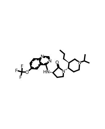 CCC[C@H]1CN(C(C)C)CC[C@@H]1N1CC[C@H](Nc2ncnc3ccc(OC(F)(F)F)cc23)C1=O